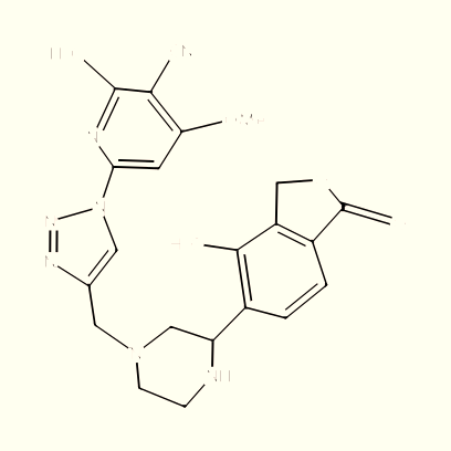 COc1cc(-n2cc(CN3CCNC(c4ccc5c(c4C)COC5=O)C3)nn2)nc(C)c1C#N